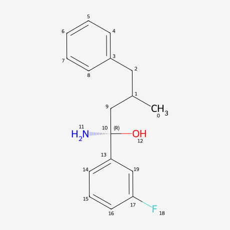 CC(Cc1ccccc1)C[C@@](N)(O)c1cccc(F)c1